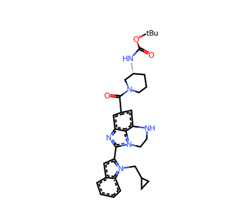 CC(C)(C)OC(=O)N[C@@H]1CCCN(C(=O)c2cc3c4c(c2)nc(-c2cc5ccccc5n2CC2CC2)n4CCN3)C1